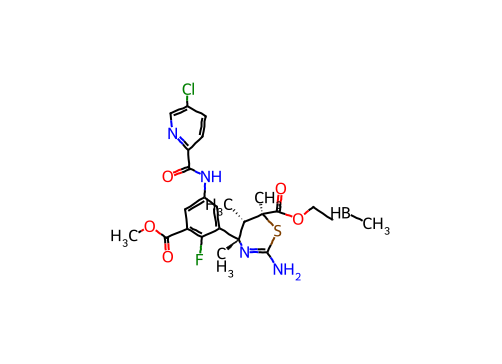 CBCCOC(=O)[C@@]1(C)SC(N)=N[C@](C)(c2cc(NC(=O)c3ccc(Cl)cn3)cc(C(=O)OC)c2F)[C@@H]1C